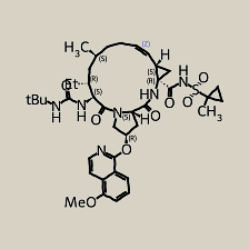 CC[C@@H]1C[C@@H](C)CC/C=C\[C@@H]2C[C@@]2(C(=O)NS(=O)(=O)C2(C)CC2)NC(=O)[C@@H]2C[C@@H](Oc3nccc4c(OC)cccc34)CN2C(=O)[C@H]1NC(=O)NC(C)(C)C